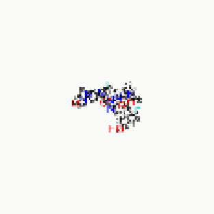 C#Cc1c(F)ccc2cc(O)cc([C@H]3COc4c(nc(OC[C@]5(C)C[C@@H](F)CN5c5ccc(N6CCOC[C@H]6C)nc5)nc4N(C)C[C@@H]4CCCN4C(=O)C=C)C3)c12